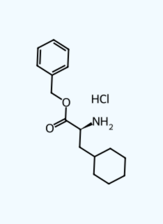 Cl.N[C@@H](CC1CCCCC1)C(=O)OCc1ccccc1